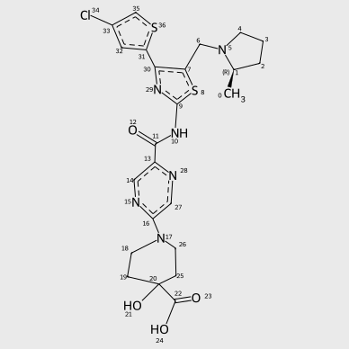 C[C@@H]1CCCN1Cc1sc(NC(=O)c2cnc(N3CCC(O)(C(=O)O)CC3)cn2)nc1-c1cc(Cl)cs1